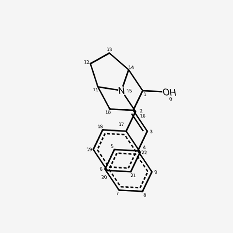 OC1C(=Cc2ccccc2)CC2CCC1N2Cc1ccccc1